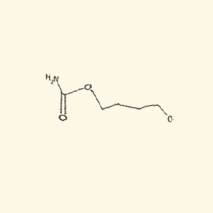 NC(=O)OCCCC[O]